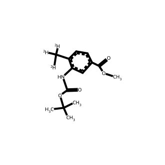 [2H]C([2H])([2H])c1ccc(C(=O)OC)cc1NC(=O)OC(C)(C)C